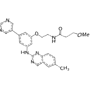 COCCC(=O)NCCOc1cc(Nc2ncc3cc(C)ccc3n2)cc(-c2cncnc2)c1